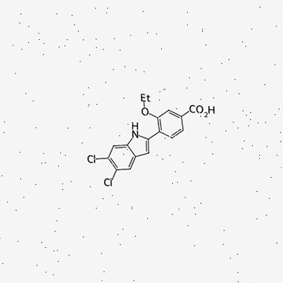 CCOc1cc(C(=O)O)ccc1-c1cc2cc(Cl)c(Cl)cc2[nH]1